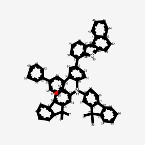 CC1(C)c2ccccc2-c2ccc(N(c3ccc4c(c3)C(C)(C)c3ccccc3-4)c3ccc(-c4cccc5c4oc4ccc6ccccc6c45)cc3-c3cccc(-c4ccccc4)c3)cc21